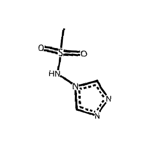 CS(=O)(=O)Nn1cnnc1